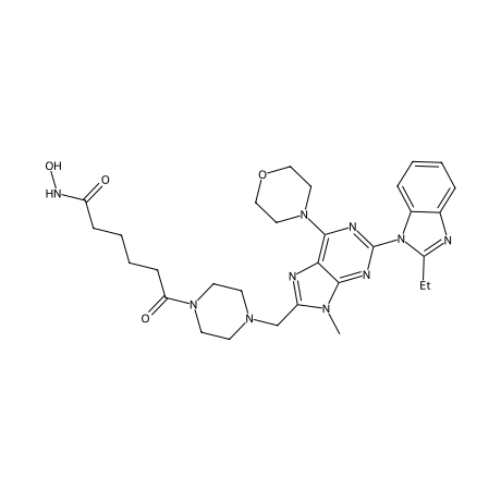 CCc1nc2ccccc2n1-c1nc(N2CCOCC2)c2nc(CN3CCN(C(=O)CCCCC(=O)NO)CC3)n(C)c2n1